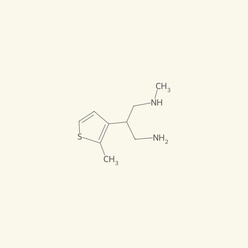 CNCC(CN)c1ccsc1C